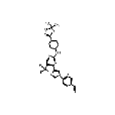 CC(C)(C)OC(=O)N1CCC(Nc2ncc(C(F)(F)F)c(-c3cn(-c4ccc(C=O)cc4Cl)cn3)n2)CC1